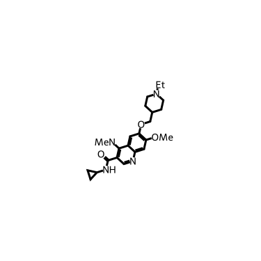 CCN1CCC(COc2cc3c(NC)c(C(=O)NC4CC4)cnc3cc2OC)CC1